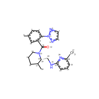 Cc1ccc(-n2nccn2)c(C(=O)N2CCCC(C)[C@H]2CNc2cccc(C(F)(F)F)n2)c1